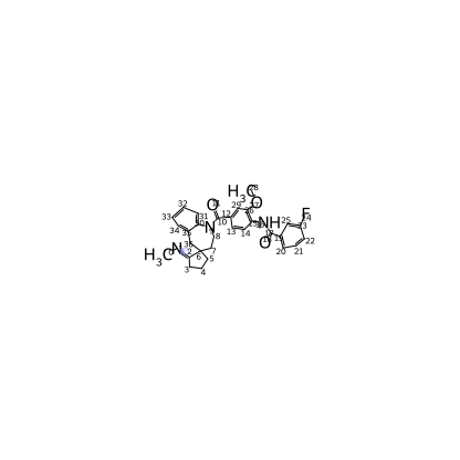 C/N=C1\CCCC12CCN(C(=O)c1ccc(NC(=O)c3cccc(F)c3)c(OC)c1)c1ccccc1C2